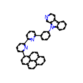 c1cc(-c2cccc(-c3cccc(-c4ccc5ccc6cccc7ccc4c5c67)n3)n2)cc(-n2c3ccccc3c3ccncc32)c1